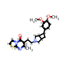 COc1ccc(C2CC3CN(CCc4c(C)nc5sccn5c4=O)CC32)cc1OC